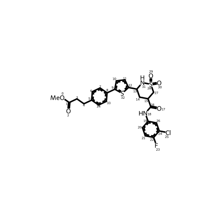 COC(=O)CCc1ccc(-c2ccc(C3CC(C(=O)Nc4ccc(F)c(Cl)c4)CS(=O)(=O)N3)s2)cc1